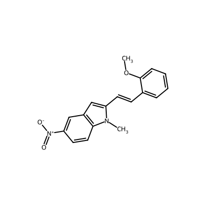 COc1ccccc1C=Cc1cc2cc([N+](=O)[O-])ccc2n1C